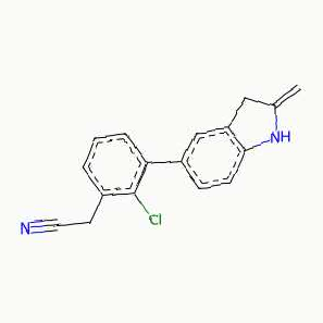 C=C1Cc2cc(-c3cccc(CC#N)c3Cl)ccc2N1